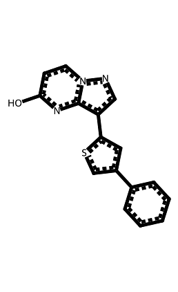 Oc1ccn2ncc(-c3cc(-c4ccccc4)cs3)c2n1